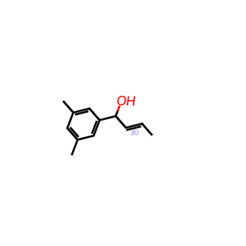 C/C=C/C(O)c1cc(C)cc(C)c1